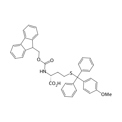 COc1ccc(C(SCC[C@@H](NC(=O)OCC2c3ccccc3-c3ccccc32)C(=O)O)(c2ccccc2)c2ccccc2)cc1